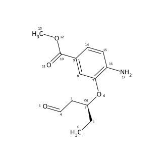 CC[C@@H](CC=O)Oc1cc(C(=O)OC)ccc1N